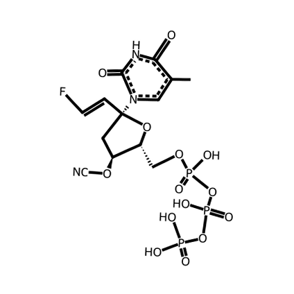 Cc1cn([C@@]2(C=CF)C[C@H](OC#N)[C@@H](COP(=O)(O)OP(=O)(O)OP(=O)(O)O)O2)c(=O)[nH]c1=O